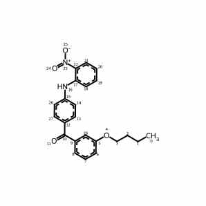 CCCCOc1cccc(C(=O)c2ccc(Nc3ccccc3[N+](=O)[O-])cc2)c1